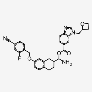 N#Cc1ccc(COc2ccc3c(c2)CC(C(N)OC(=O)c2ccc4ncn(C[C@@H]5CCO5)c4c2)CC3)c(F)c1